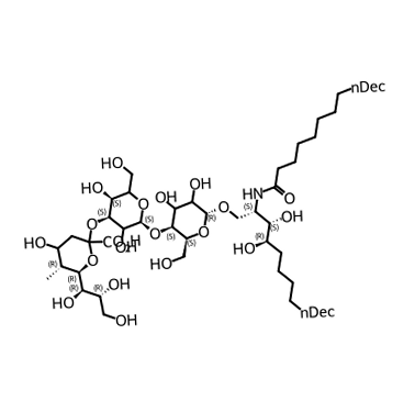 CCCCCCCCCCCCCCCCCC(=O)N[C@@H](CO[C@@H]1O[C@@H](CO)[C@@H](O[C@@H]2OC(CO)[C@H](O)[C@H](OC3(C(=O)O)CC(O)[C@@H](C)[C@H]([C@H](O)[C@H](O)CO)O3)C2O)C(O)C1O)[C@H](O)[C@H](O)CCCCCCCCCCCCCC